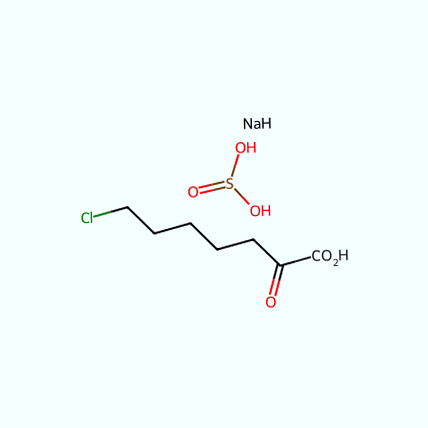 O=C(O)C(=O)CCCCCCl.O=S(O)O.[NaH]